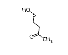 CC(=O)CCSO